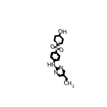 C=Cc1cnc(Nc2ccc(S(=O)(=O)N3CCC(O)CC3)cc2)nc1